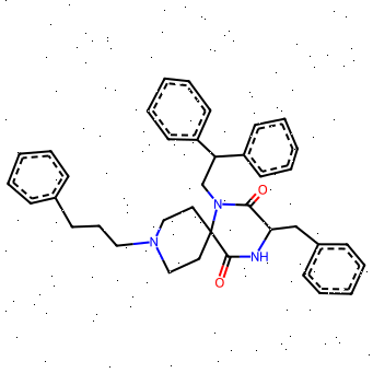 O=C1C(Cc2ccccc2)NC(=O)C2(CCN(CCCc3ccccc3)CC2)N1CC(c1ccccc1)c1ccccc1